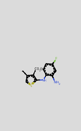 CCOC(=O)c1c(C)csc1Nc1ccc(F)cc1N